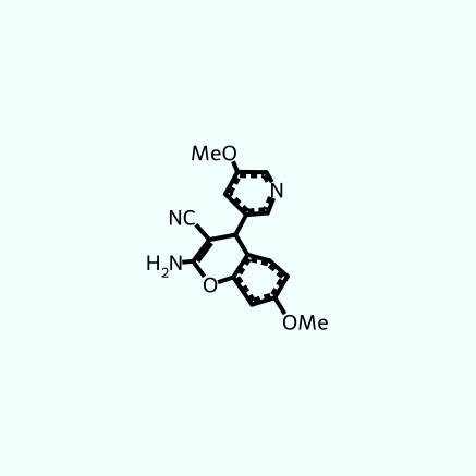 COc1cncc(C2C(C#N)=C(N)Oc3cc(OC)ccc32)c1